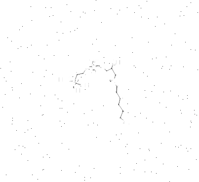 CCCCCCCCCCCCCCCC[S+]([O-])CC(C)COP(=O)(O)OCC[N+](C)(C)C